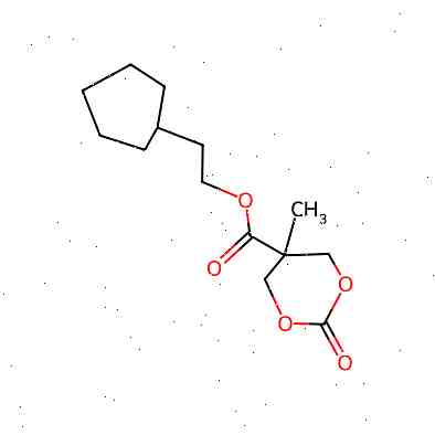 CC1(C(=O)OCCC2CCCCC2)COC(=O)OC1